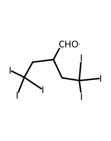 O=[C]C(CC(I)(I)I)CC(I)(I)I